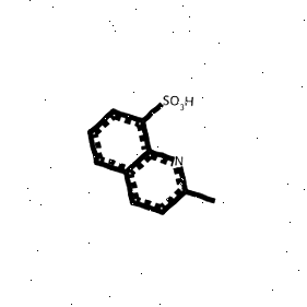 Cc1ccc2cccc(S(=O)(=O)O)c2n1